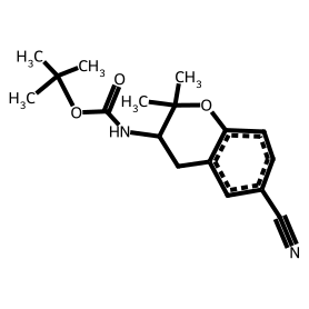 CC(C)(C)OC(=O)NC1Cc2cc(C#N)ccc2OC1(C)C